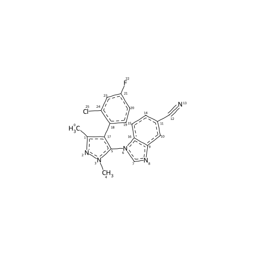 Cc1nn(C)c(-n2cnc3cc(C#N)ccc32)c1-c1ccc(F)cc1Cl